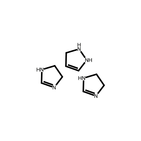 C1=CNNC1.C1=NCCN1.C1=NCCN1